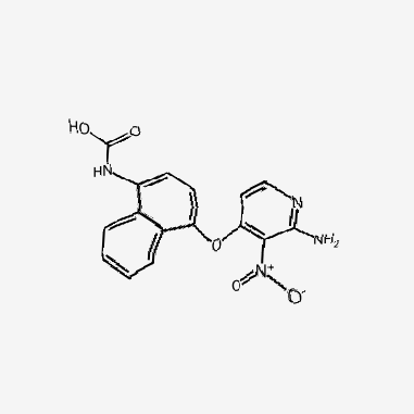 Nc1nccc(Oc2ccc(NC(=O)O)c3ccccc23)c1[N+](=O)[O-]